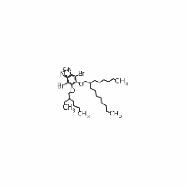 CCCCCCCCC(CCCCCC)COc1c(OCC(CC)CCCC)c(Br)c2nsnc2c1Br